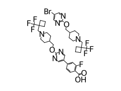 FC(F)(F)C1(CN2CCC(COc3ncc(Br)cn3)CC2)CCC1.O=C(O)c1ccc(-c2cnc(OCC3CCN(CC4(C(F)(F)F)CCC4)CC3)nc2)cc1F